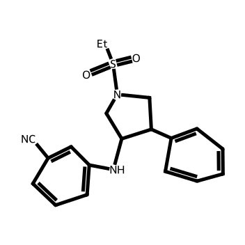 CCS(=O)(=O)N1CC(Nc2cccc(C#N)c2)C(c2ccccc2)C1